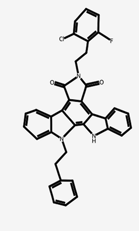 O=C1c2c(c3c4ccccc4n(CCc4ccccc4)c3c3[nH]c4ccccc4c23)C(=O)N1CCc1c(F)cccc1Cl